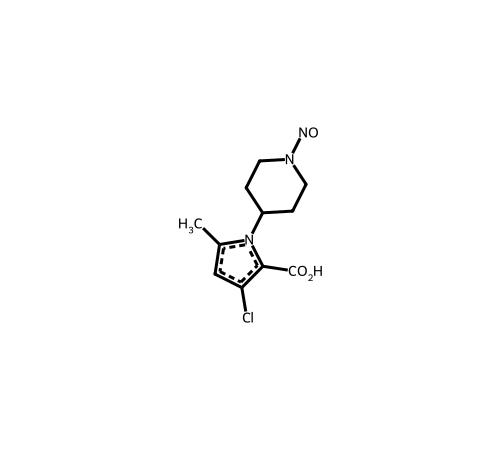 Cc1cc(Cl)c(C(=O)O)n1C1CCN(N=O)CC1